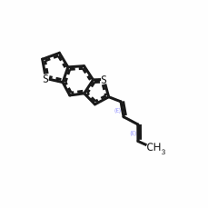 C/C=C/C=C/c1cc2cc3sccc3cc2s1